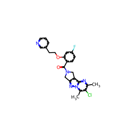 Cc1nc2c3c(nn2c(C)c1Cl)CN(C(=O)c1ccc(F)cc1OCCc1cccnc1)C3